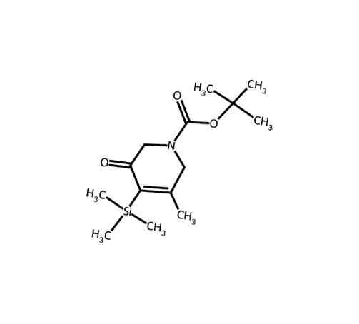 CC1=C([Si](C)(C)C)C(=O)CN(C(=O)OC(C)(C)C)C1